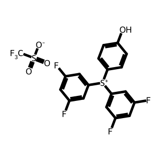 O=S(=O)([O-])C(F)(F)F.Oc1ccc([S+](c2cc(F)cc(F)c2)c2cc(F)cc(F)c2)cc1